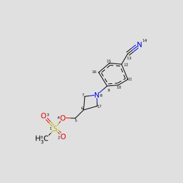 CS(=O)(=O)OCC1CN(c2ccc(C#N)cc2)C1